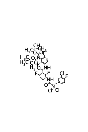 CC(C)(C)OC(=O)N(C(=O)OC(C)(C)C)c1c(F)ccc(NC(=O)c2c(F)ccc(NC(=O)C3C(c4ccc(F)c(Cl)c4)C3(Cl)Cl)c2F)c1F